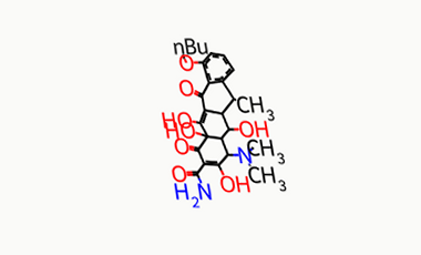 CCCCOc1cccc2c1C(=O)C1=C(O)C3(O)C(=O)C(C(N)=O)=C(O)C(N(C)C)C3C(O)C1C2C